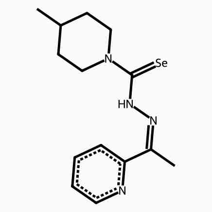 CC(=NNC(=[Se])N1CCC(C)CC1)c1ccccn1